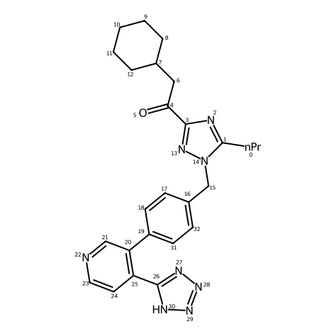 CCCc1nc(C(=O)CC2CCCCC2)nn1Cc1ccc(-c2cnccc2-c2nnn[nH]2)cc1